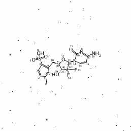 Cc1ccc(S(=O)(=O)O)c(C[C@H]2O[C@@H](n3ccc(N)nc3=O)C(F)(F)[C@@H]2O)c1